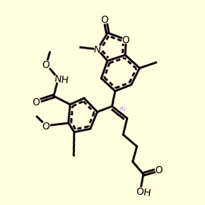 CONC(=O)c1cc(/C(=C\CCCC(=O)O)c2cc(C)c3oc(=O)n(C)c3c2)cc(C)c1OC